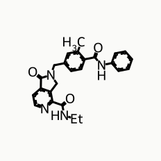 CCNC(=O)c1nccc2c1CN(Cc1ccc(C(=O)Nc3ccccc3)c(C)c1)C2=O